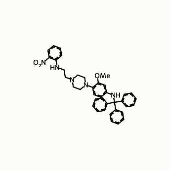 COc1cc(NC(c2ccccc2)(c2ccccc2)c2ccccc2)ccc1N1CCN(CCNc2ccccc2[N+](=O)[O-])CC1